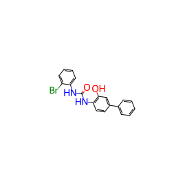 O=C(Nc1ccc(-c2ccccc2)cc1O)Nc1ccccc1Br